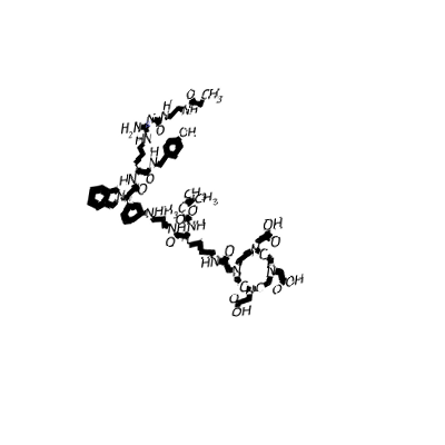 CCC(=O)NCCNC(=O)/N=C(/N)NCCC[C@@H](NC(=O)[C@H](c1cccc(NCCCNC(=O)[C@@H](CCCCNC(=O)CN2CCN(CC(=O)O)CCN(CC(=O)O)CCN(CC(=O)O)CC2)NC(=O)OC(C)(C)C)c1)N1Cc2ccccc2C1)C(=O)NCc1ccc(O)cc1